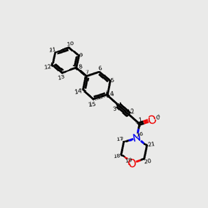 O=C(C#Cc1ccc(-c2ccccc2)cc1)N1CCOCC1